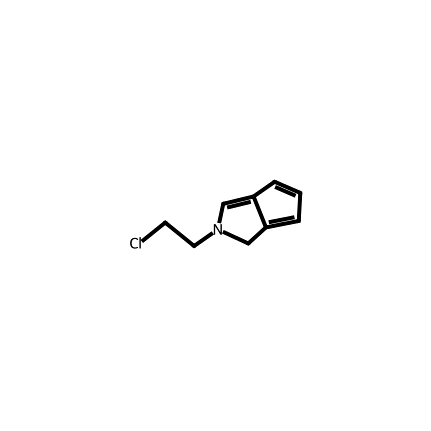 ClCCN1C=C2C=CC=C2C1